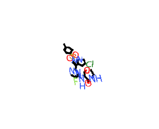 Cc1ccc(S(=O)(=O)n2cc(-c3ncc(F)c(NC4COCCNC4=O)n3)c3cc(Cl)cnc32)cc1